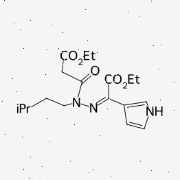 CCOC(=O)CC(=O)N(CCC(C)C)N=C(C(=O)OCC)c1cc[nH]c1